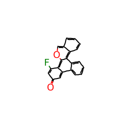 O=c1cc(F)c2c(c1)c1ccccc1c1c3ccccc3coc21